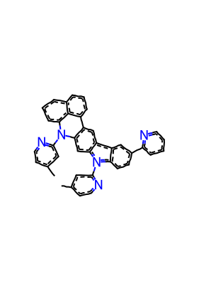 Cc1ccnc(N2c3cc4c(cc3-c3cccc5cccc2c35)c2cc(-c3ccccn3)ccc2n4-c2cc(C)ccn2)c1